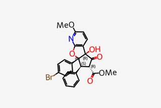 COC(=O)[C@H]1C(=O)[C@@]2(O)c3ccc(OC)nc3O[C@@]2(c2ccc(Br)cc2)[C@@H]1c1ccccc1